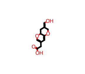 O=C(O)CC1=COC2CC(=CO)COC2=C1